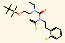 C=C(S)N(CCc1ccccc1F)C(=O)N(CC)CCO[Si](C)(C)C(C)(C)C